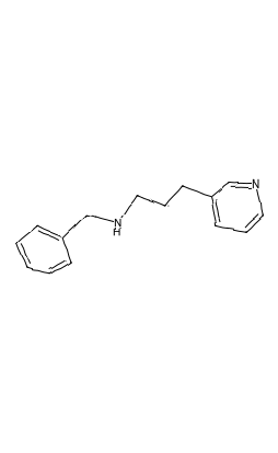 [CH](CNCc1ccccc1)Cc1cccnc1